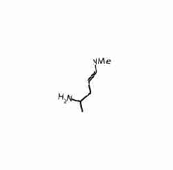 CN/C=C/CC(C)N